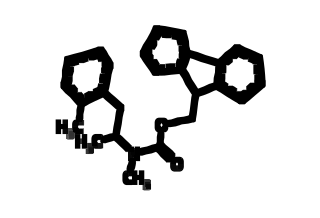 Cc1ccccc1CC(C)N(C)C(=O)OCC1c2ccccc2-c2ccccc21